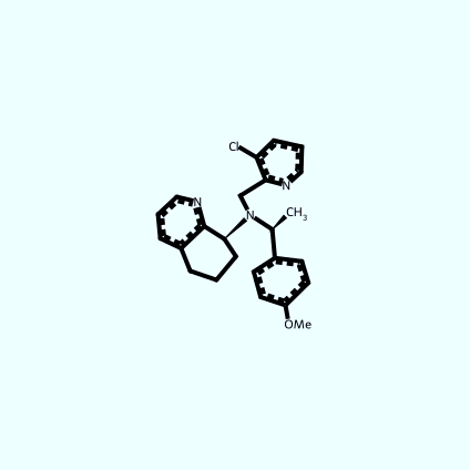 COc1ccc([C@H](C)N(Cc2ncccc2Cl)[C@H]2CCCc3cccnc32)cc1